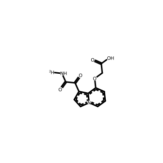 [2H]NC(=O)C(=O)c1ccn2cccc(OCC(=O)O)c12